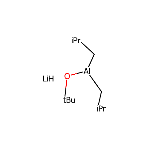 CC(C)[CH2][Al]([CH2]C(C)C)[O]C(C)(C)C.[LiH]